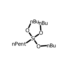 CCCCC[Si](OCCCC)(OCCCC)OCCCC